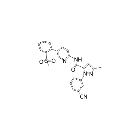 Cc1cc(C(=O)Nc2ccc(-c3ccccc3S(C)(=O)=O)cn2)n(-c2cccc(C#N)c2)n1